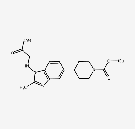 COC(=O)CNn1c(C)nc2cc(C3CCN(C(=O)OC(C)(C)C)CC3)ccc21